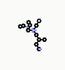 c1ccc(-c2cc(-c3ccc(-c4nc(-c5ccc(C6CCCCC6)cc5)nc(-c5cccc6c5c5ccc7ccccc7c5n6-c5ccc6ccccc6c5)n4)cc3)cc(-c3cccc(-c4cccnc4)c3)c2)cc1